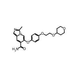 Cc1ncc2cc(C(N)=O)c(Oc3ccc(OCCOC4CCOCC4)cc3)cn12